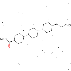 COC(=O)[C@H]1CC[C@H](C2CCC([C@H]3CC[C@H](CCC=O)CC3)CC2)CC1